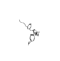 CCCCc1cccc(Cc2cc(C)nn2-c2ccc(F)cc2)c1